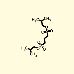 CC(C)COS(=O)(=O)CCCS(=O)(=O)OCC(C)C